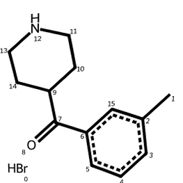 Br.Cc1cccc(C(=O)C2CCNCC2)c1